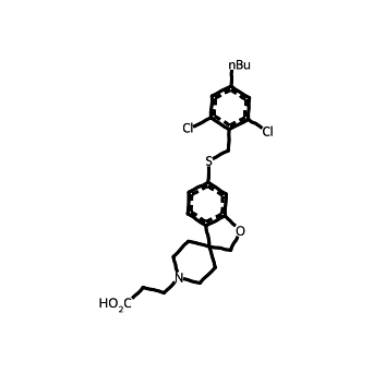 CCCCc1cc(Cl)c(CSc2ccc3c(c2)OCC32CCN(CCC(=O)O)CC2)c(Cl)c1